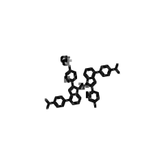 Cc1ccc(C2=Cc3c(-c4ccc(C(C)C)cc4)cccc3[CH]2[Zr+2][CH]2C(c3ccc(C)cn3)=Cc3c(-c4ccc(C(C)C)cc4)cccc32)nc1.[Cl-].[Cl-]